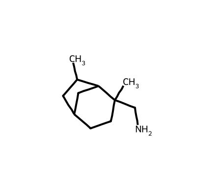 CC1CC2CCC(C)(CN)C1C2